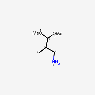 COC(OC)C(C)CN